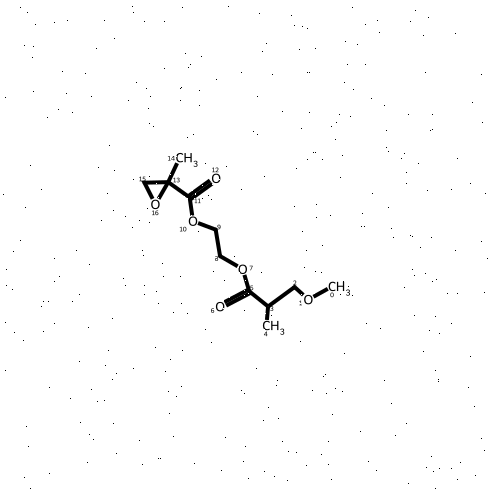 COCC(C)C(=O)OCCOC(=O)C1(C)CO1